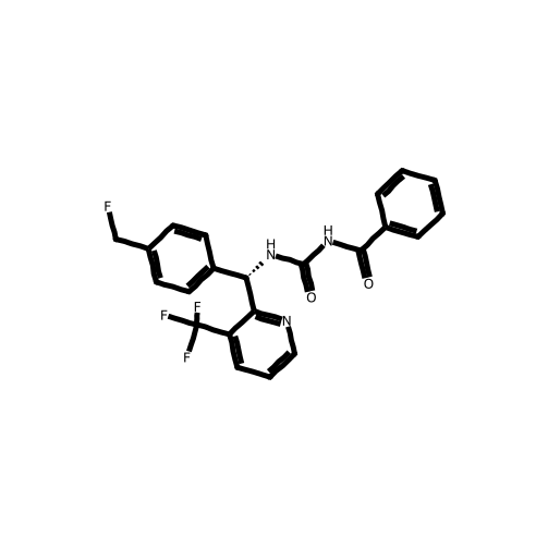 O=C(NC(=O)c1ccccc1)N[C@@H](c1ccc(CF)cc1)c1ncccc1C(F)(F)F